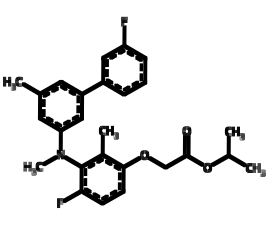 Cc1cc(-c2cccc(F)c2)cc(N(C)c2c(F)ccc(OCC(=O)OC(C)C)c2C)c1